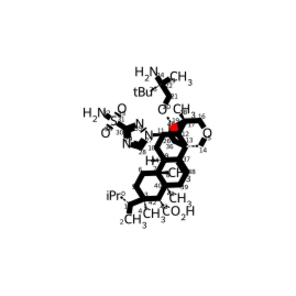 CC(C)[C@@H](C)[C@@]1(C)CC[C@]2(C)[C@H]3CC[C@@H]4[C@@]5(COC[C@@]4(C)[C@@H](OC[C@](C)(N)C(C)(C)C)[C@H](n4cnc(S(N)(=O)=O)n4)C5)C3=CC[C@@]2(C)[C@@H]1C(=O)O